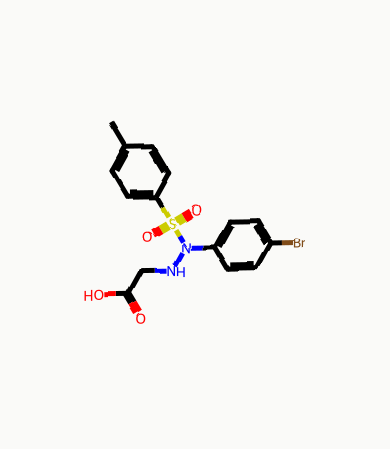 Cc1ccc(S(=O)(=O)N(NCC(=O)O)c2ccc(Br)cc2)cc1